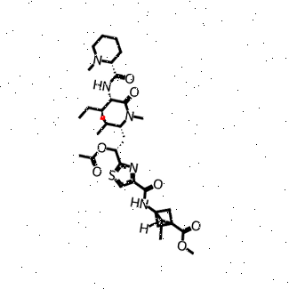 CC[C@H](C)[C@H](NC(=O)[C@H]1CCCCN1C)C(=O)N(C)[C@H](C[C@@H](OC(C)=O)c1nc(C(=O)NC23CC(C(=O)OC)(C2)[C@@H]3C)cs1)C(C)C